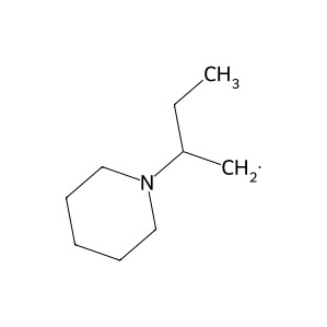 [CH2]C(CC)N1CCCCC1